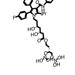 CC(C)c1c(C(=O)Nc2ccccc2)c(-c2ccccc2)c(-c2ccc(F)cc2)n1CC[C@@H](O)C[C@@H](O)CC(=O)OCC[C@H](CON(O)O)ON(O)O